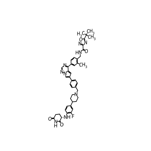 Cc1cc(-c2ncnn3cc(-c4ccc(CN5CCC(c6ccc(N[C@H]7CCC(=O)NC7=O)c(F)c6)CC5)cc4)cc23)ccc1CNC(=O)c1noc(C(C)(C)C)n1